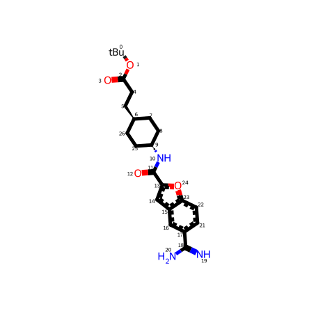 CC(C)(C)OC(=O)CC[C@H]1CC[C@H](NC(=O)c2cc3cc(C(=N)N)ccc3o2)CC1